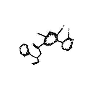 C=CC(CC(=O)c1cc(-c2cccnc2F)c(F)cc1C)c1ccccc1